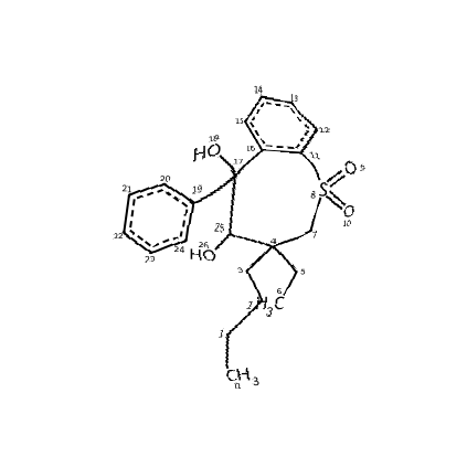 CCCCC1(CC)CS(=O)(=O)c2ccccc2C(O)(c2ccccc2)C1O